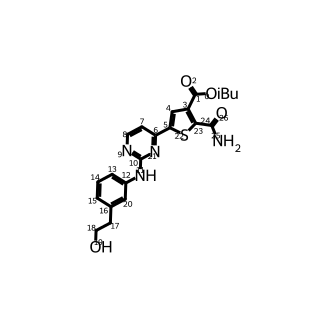 CC(C)COC(=O)c1cc(-c2ccnc(Nc3cccc(CCO)c3)n2)sc1C(N)=O